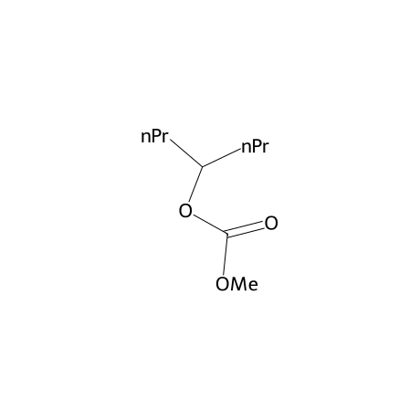 [CH2]OC(=O)OC(CCC)CCC